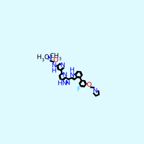 CN(C)CC(=O)Nc1cncc(-c2ccc3[nH]nc(-c4cc5c(-c6cc(F)cc(OCCN7CCCC7)c6)cccc5[nH]4)c3n2)c1